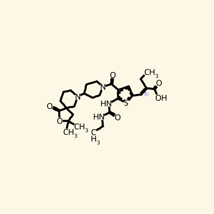 CCNC(=O)Nc1sc(/C=C(\CC)C(=O)O)cc1C(=O)N1CCC(N2CCCC3(C2)CC(C)(C)OC3=O)CC1